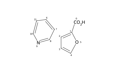 O=C(O)c1ccco1.c1ccncc1